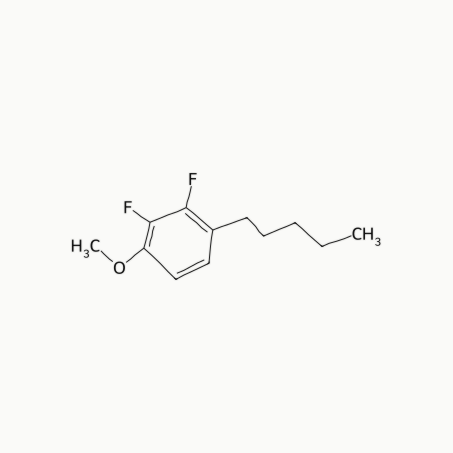 CCCCCc1ccc(OC)c(F)c1F